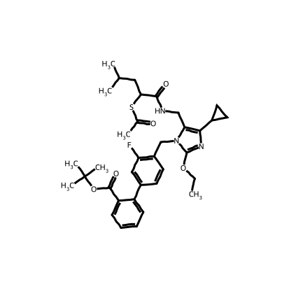 CCOc1nc(C2CC2)c(CNC(=O)C(CC(C)C)SC(C)=O)n1Cc1ccc(-c2ccccc2C(=O)OC(C)(C)C)cc1F